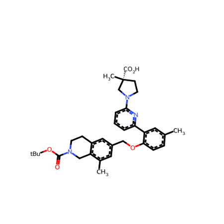 Cc1ccc(OCc2cc(C)c3c(c2)CCN(C(=O)OC(C)(C)C)C3)c(-c2cccc(N3CC[C@@](C)(C(=O)O)C3)n2)c1